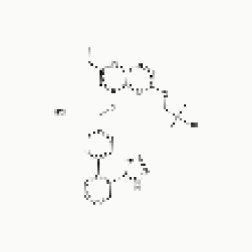 CCc1cc(OCc2ccc(-c3ccccc3-c3nnn[nH]3)cc2)c2nc(OCC(C)(C)O)ccc2n1.Cl